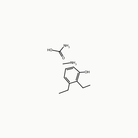 CCc1cccc(O)c1CC.CN.NC(=O)O